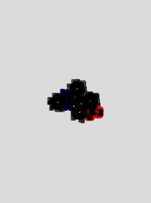 O=c1oc2cccc(-c3[c]c4ccccc4c4nc5ccccc5nc34)c2c2ccccc12